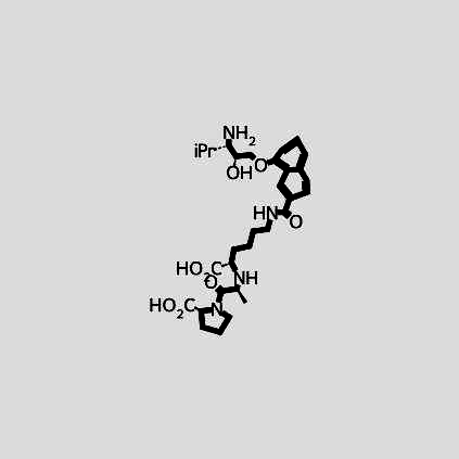 CC(C)[C@H](N)[C@@H](O)COc1cccc2ccc(C(=O)NCCCC[C@H](N[C@@H](C)C(=O)N3CCC[C@@H]3C(=O)O)C(=O)O)cc12